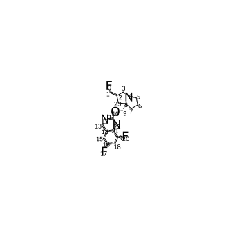 F/C=C1\CN2CCC[C@@]2(COc2ncc3cc(F)cc(F)c3n2)C1